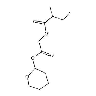 CCC(C)C(=O)OCC(=O)OC1CCCCO1